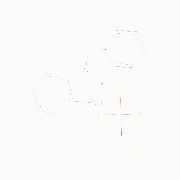 O=C(O)N1c2ncccc2NC1(OC(F)(F)C(F)F)c1ccccc1